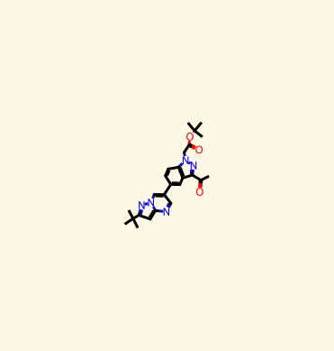 CC(=O)c1nn(CC(=O)OC(C)(C)C)c2ccc(-c3cnc4cc(C(C)(C)C)nn4c3)cc12